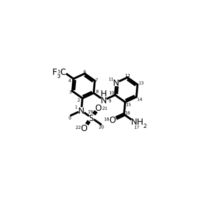 CN(c1cc(C(F)(F)F)ccc1Nc1ncccc1C(N)=O)S(C)(=O)=O